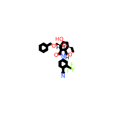 N#Cc1ccc(N2C(=O)[C@@H]3[C@@H]4[C@H]2OCC[C@@]42C[C@H](O)[C@]3(COCc3ccccc3)O2)cc1C(F)(F)F